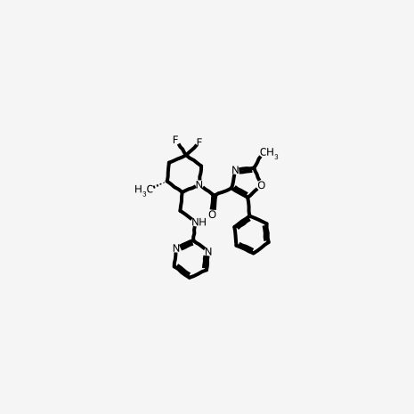 Cc1nc(C(=O)N2CC(F)(F)C[C@@H](C)C2CNc2ncccn2)c(-c2ccccc2)o1